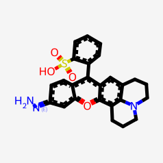 N/N=c1\ccc2c(-c3ccccc3S(=O)(=O)O)c3cc4c5c(c3oc-2c1)CCCN5CCC4